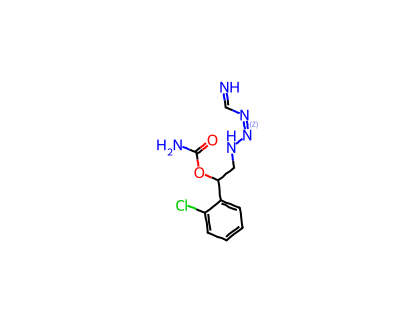 N=C/N=N\NCC(OC(N)=O)c1ccccc1Cl